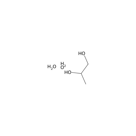 CC(O)CO.O.O